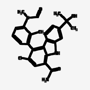 Cc1c(-c2c(Cl)cc(C(N)=O)c3[nH]c4cc(C(C)(C)O)ccc4c23)cccc1N(C)C=O